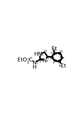 CCOC(=O)NC1=NC(c2cc(CC)ccc2CC)CN1